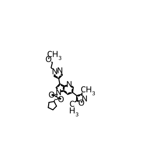 COCCn1cc(-c2cn(S(=O)(=O)C3CCCC3)c3cc(-c4c(C)noc4C)cnc23)cn1